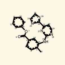 Cc1ccc(C(=O)Oc2ccccc2)cc1Nc1nccc(-c2nccs2)n1